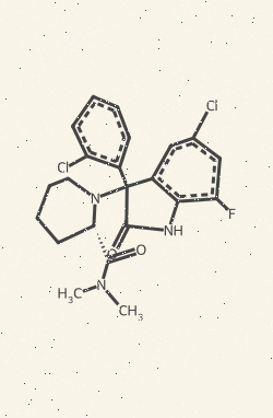 CN(C)C(=O)[C@@H]1CCCCN1C1(c2ccccc2Cl)C(=O)Nc2c(F)cc(Cl)cc21